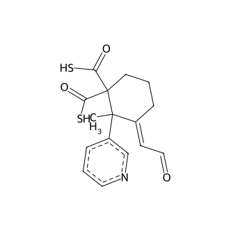 CC1(c2cccnc2)C(=CC=O)CCCC1(C(=O)S)C(=O)S